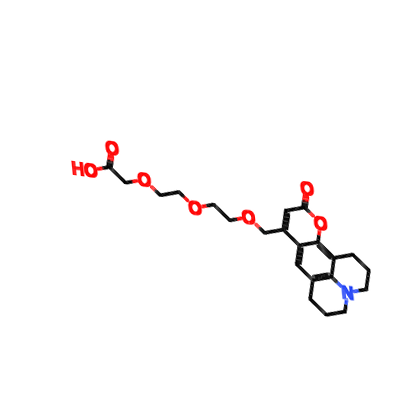 O=C(O)COCCOCCOCc1cc(=O)oc2c3c4c(cc12)CCCN4CCC3